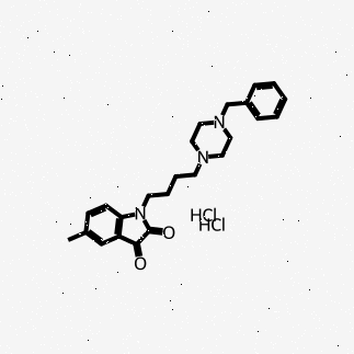 Cc1ccc2c(c1)C(=O)C(=O)N2CCCCN1CCN(Cc2ccccc2)CC1.Cl.Cl